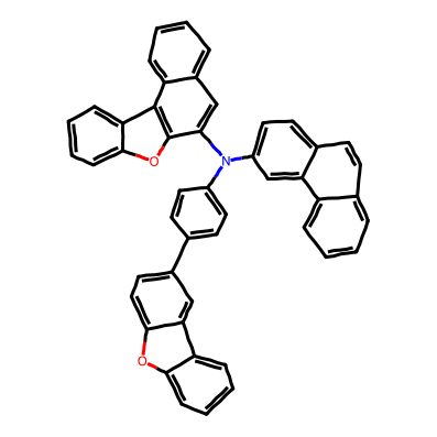 c1ccc2c(c1)ccc1ccc(N(c3ccc(-c4ccc5oc6ccccc6c5c4)cc3)c3cc4ccccc4c4c3oc3ccccc34)cc12